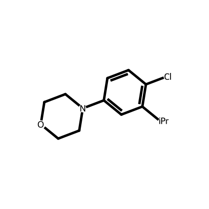 CC(C)c1cc(N2CCOCC2)ccc1Cl